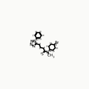 CN(C(=S)CCCc1nnnn1-c1ccccc1)C1CCC(Br)CC1